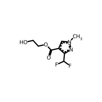 Cn1cc(C(=O)OCCO)c(C(F)F)n1